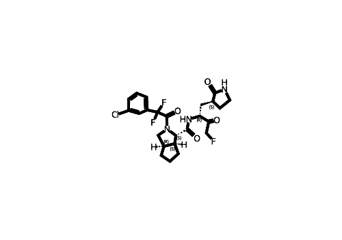 O=C1NCC[C@H]1C[C@@H](NC(=O)[C@@H]1[C@H]2CCC[C@H]2CN1C(=O)C(F)(F)c1cccc(Cl)c1)C(=O)CF